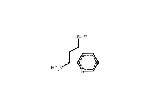 CCCCCCCCCCCS(=O)(=O)O.c1ccncc1